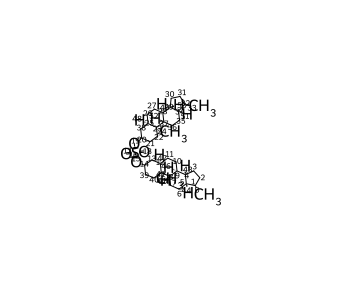 C[C@@H]1CC[C@@H]2[C@H]1CC[C@H]1[C@H]2CC[C@@H]2C[C@H](OS(=O)(=O)O[C@@H]3CC[C@@]4(C)[C@H](CC[C@H]5[C@@H]6CC[C@@H](C)[C@@H]6CC[C@@H]54)C3)CC[C@@]21C